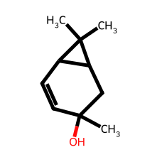 CC1(O)C=CC2C(C1)C2(C)C